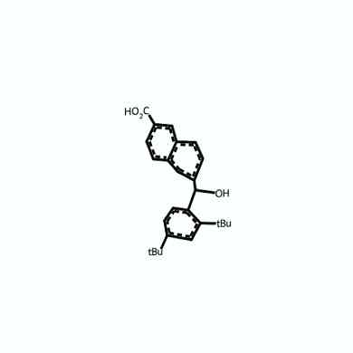 CC(C)(C)c1ccc(C(O)c2ccc3cc(C(=O)O)ccc3c2)c(C(C)(C)C)c1